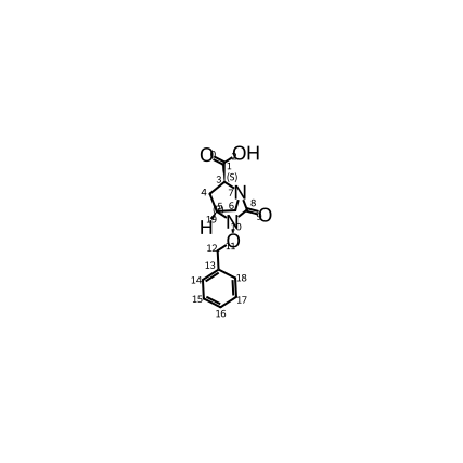 O=C(O)[C@@H]1C[C@@H]2CN1C(=O)N2OCc1ccccc1